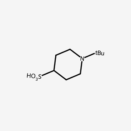 CC(C)(C)N1CCC(S(=O)(=O)O)CC1